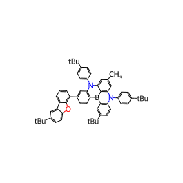 Cc1cc2c3c(c1)N(c1ccc(C(C)(C)C)cc1)c1cc(-c4cccc5c4oc4ccc(C(C)(C)C)cc45)ccc1B3c1cc(C(C)(C)C)ccc1N2c1ccc(C(C)(C)C)cc1